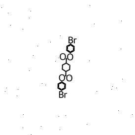 O=C(Oc1ccc(Br)cc1)C1CCC(C(=O)Oc2ccc(Br)cc2)CC1